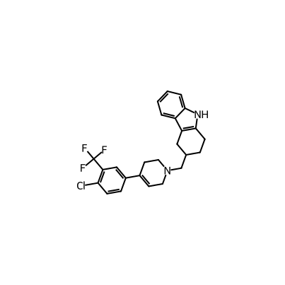 FC(F)(F)c1cc(C2=CCN(CC3CCc4[nH]c5ccccc5c4C3)CC2)ccc1Cl